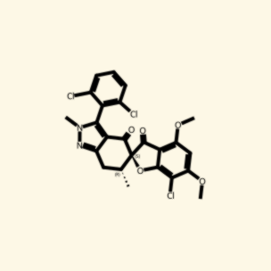 COc1cc(OC)c2c(c1Cl)O[C@]1(C2=O)C(=O)c2c(nn(C)c2-c2c(Cl)cccc2Cl)C[C@H]1C